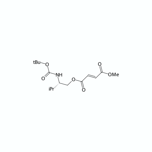 COC(=O)/C=C/C(=O)OC[C@@H](NC(=O)OC(C)(C)C)C(C)C